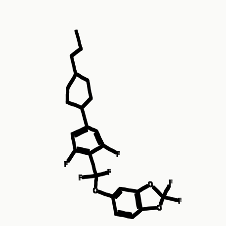 CCCC1CCC(c2cc(F)c(C(F)(F)Oc3ccc4c(c3)OC(F)(F)O4)c(F)c2)CC1